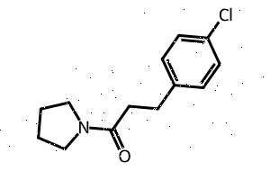 O=C(CCc1ccc(Cl)cc1)N1CCCC1